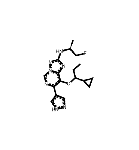 CCC(Oc1c(-c2cn[nH]c2)ncn2nc(N[C@@H](C)CF)nc12)C1CC1